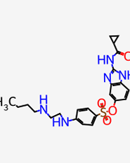 CCCCNCCNc1ccc(S(=O)(=O)Oc2ccc3[nH]c(NC(=O)C4CC4)nc3c2)cc1